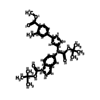 COC(=O)c1ccc(-c2nnc(N(C(=O)OC(C)(C)C)c3ccc4c(cnn4C(=O)OC(C)(C)C)c3)s2)cc1N